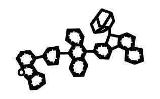 c1ccc2c3c(ccc2c1)C(C12CC4CC(CC(C4)C1)C2)c1cc(-c2c4ccccc4c(-c4ccc(-c5cccc6oc7ccccc7c56)cc4)c4ccccc24)ccc1-3